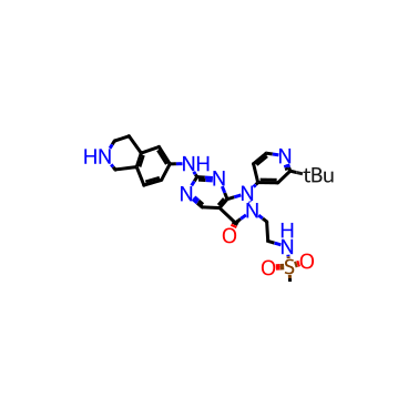 CC(C)(C)c1cc(-n2c3nc(Nc4ccc5c(c4)CCNC5)ncc3c(=O)n2CCNS(C)(=O)=O)ccn1